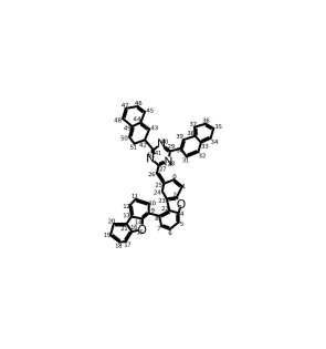 C1=Cc2oc3cccc(-c4cccc5c4oc4ccccc45)c3c2C/C1=C/c1nc(-c2ccc3ccccc3c2)nc(C2C=c3ccccc3=CC2)n1